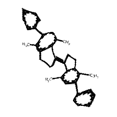 Cc1cc(-c2ccccc2)c(C)c2c1C(=C1CCc3c(C)c(-c4ccccc4)cc(C)c31)CC2